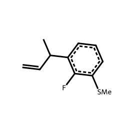 C=C[C](C)c1cccc(SC)c1F